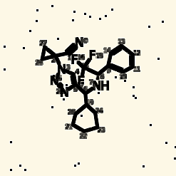 N#CC1(n2cc(C(N[C@@H](c3ccccc3)C(F)(F)F)C3CCCCC3)nn2)CC1